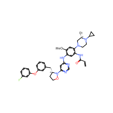 C=CC(=O)Nc1cc(Nc2cc(N3OCC[C@@H]3Cc3cccc(Oc4cccc(F)c4)c3)ncn2)c(OC)cc1N1CCN(C2CC2)[C@@H](CC)C1